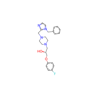 O[C@H](COc1ccc(F)cc1)CN1CCN(Cc2nccn2Cc2ccccc2)CC1